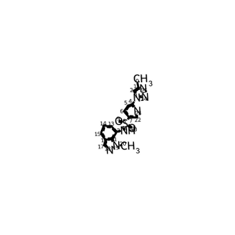 Cc1cn(-c2ccc(S(=O)(=O)Nc3cccc4cnn(C)c34)cn2)nn1